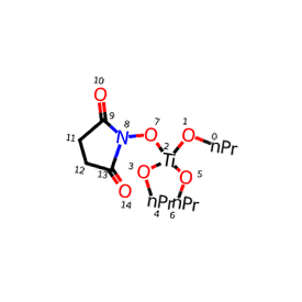 CCC[O][Ti]([O]CCC)([O]CCC)[O]N1C(=O)CCC1=O